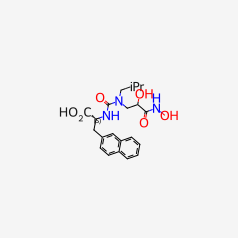 CC(C)CN(CC(O)C(=O)NO)C(=O)N[C@@H](Cc1ccc2ccccc2c1)C(=O)O